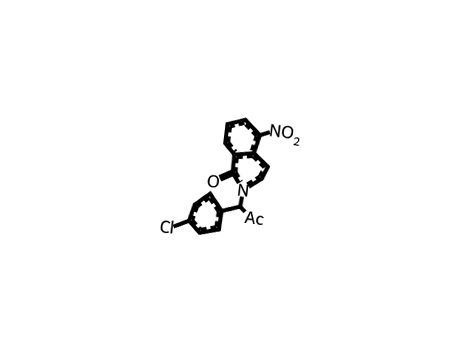 CC(=O)C(c1ccc(Cl)cc1)n1ccc2c([N+](=O)[O-])cccc2c1=O